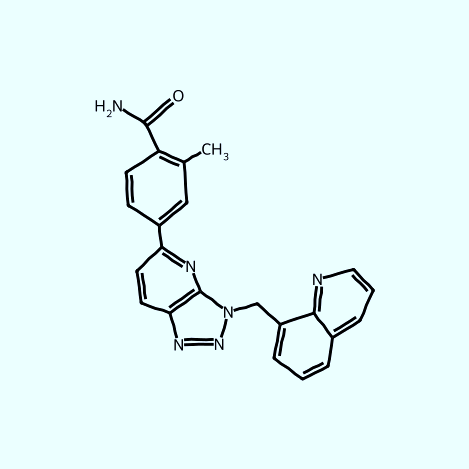 Cc1cc(-c2ccc3nnn(Cc4cccc5cccnc45)c3n2)ccc1C(N)=O